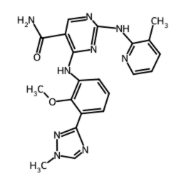 COc1c(Nc2nc(Nc3ncccc3C)ncc2C(N)=O)cccc1-c1ncn(C)n1